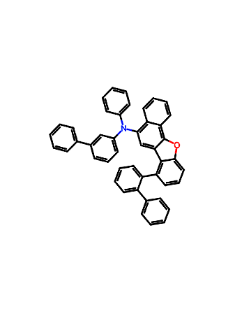 c1ccc(-c2cccc(N(c3ccccc3)c3cc4c(oc5cccc(-c6ccccc6-c6ccccc6)c54)c4ccccc34)c2)cc1